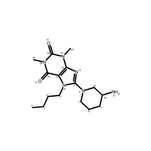 CCCCn1c(N2CCCC(N)C2)nc2c1c(=O)n(C)c(=O)n2C